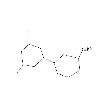 CC1CC(C)CC(C2CCCC(C=O)C2)C1